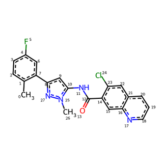 Cc1ccc(F)cc1-c1cc(NC(=O)c2cc3ncccc3cc2Cl)n(C)n1